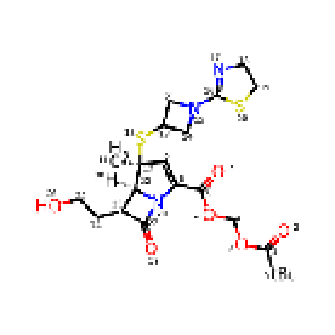 CC(C)(C)C(=O)OCOC(=O)C1=C[C@](C)(SC2CN(C3=NCCS3)C2)[C@@H]2[C@H](CCO)C(=O)N12